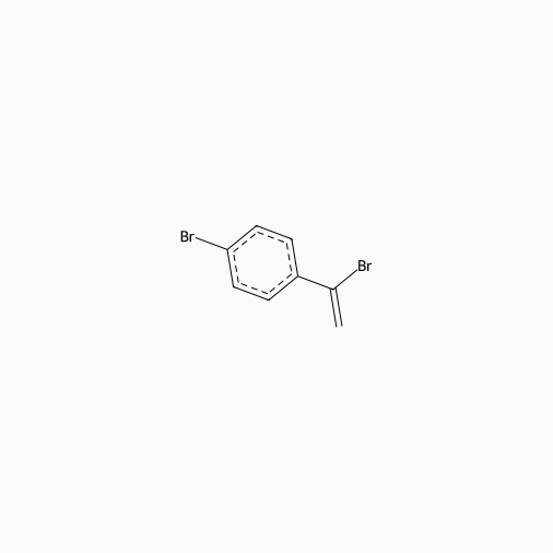 C=C(Br)c1ccc(Br)cc1